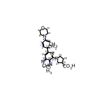 C=C(/C=C\C(=C/C)N1CCOCC1)C1=CC(=N/C)/C(=N\C)C(N2CCC(C(=O)O)C2)=N1